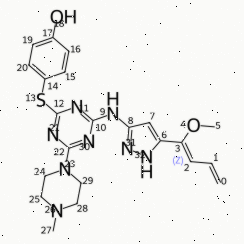 C=C/C=C(\OC)c1cc(Nc2nc(Sc3ccc(O)cc3)nc(N3CCN(C)CC3)n2)n[nH]1